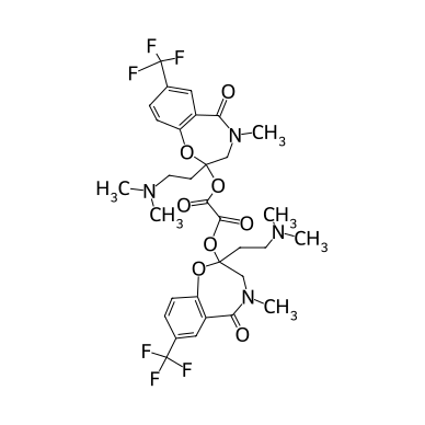 CN(C)CCC1(OC(=O)C(=O)OC2(CCN(C)C)CN(C)C(=O)c3cc(C(F)(F)F)ccc3O2)CN(C)C(=O)c2cc(C(F)(F)F)ccc2O1